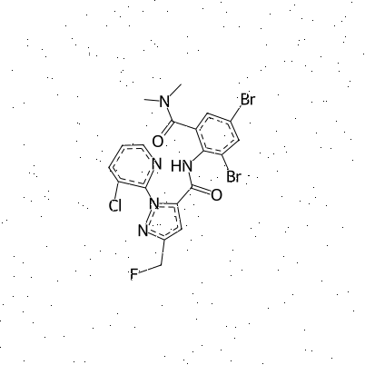 CN(C)C(=O)c1cc(Br)cc(Br)c1NC(=O)c1cc(CF)nn1-c1ncccc1Cl